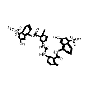 Cc1ccc(NC(=O)Nc2ccc(C)c(C(=O)Nc3cccc4c(S(=O)(=O)O)cc(O)cc34)c2)cc1C(=O)Nc1cccc2c(S(=O)(=O)O)cc(O)cc12